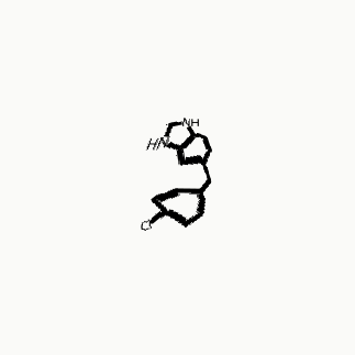 Clc1ccc(Cc2ccc3c(c2)N[CH]N3)cc1